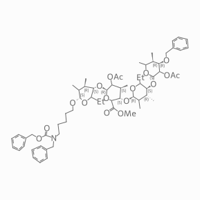 CCC1O[C@H](OCCCCCN(Cc2ccccc2)C(=O)OCc2ccccc2)C(C)[C@@H](C)[C@@H]1O[C@@H]1OC(C(=O)OC)[C@@H](O[C@H]2OC(CC)[C@@H](O[C@@H]3OC(C)[C@@H](C)[C@@H](OCc4ccccc4)C3OC(C)=O)[C@H](C)C2C)[C@H](C)C1OC(C)=O